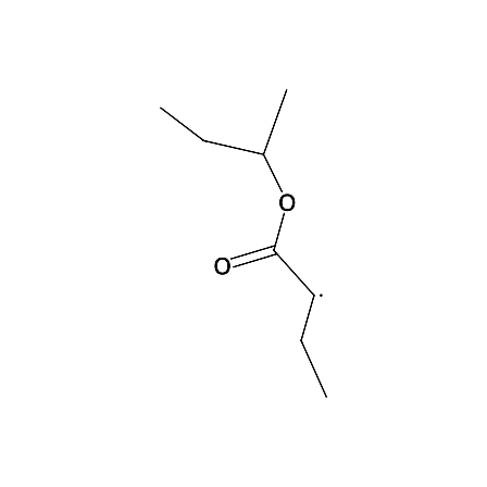 CC[CH]C(=O)OC(C)CC